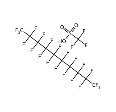 FC(F)(F)C(F)(F)C(F)(F)C(F)(F)C(F)(F)C(F)(F)C(F)(F)C(F)(F)C(F)(F)C(F)(F)F.O=S(=O)(O)C(F)(F)F